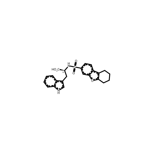 O=C(O)[C@H](Cc1c[nH]c2ccccc12)NS(=O)(=O)c1ccc2c3c(oc2c1)CCCC3